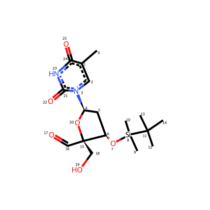 Cc1cn([C@H]2C[C@H](O[Si](C)(C)C(C)(C)C)[C@@](C=O)(CO)O2)c(=O)[nH]c1=O